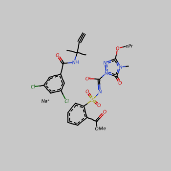 C#CC(C)(C)NC(=O)c1cc(Cl)cc(Cl)c1.CCCOc1nn(/C([O-])=N/S(=O)(=O)c2ccccc2C(=O)OC)c(=O)n1C.[Na+]